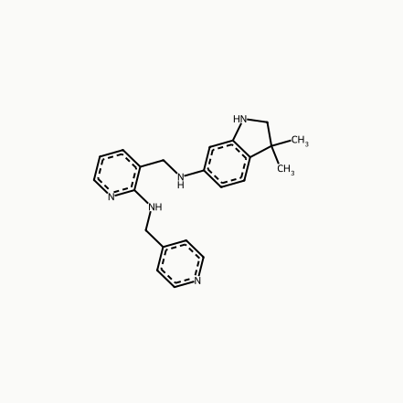 CC1(C)CNc2cc(NCc3cccnc3NCc3ccncc3)ccc21